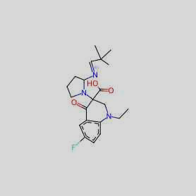 CCN1CC(C(=O)O)(N2CCCC2/N=C/C(C)(C)C)C(=O)c2cc(F)ccc21